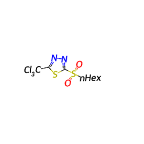 CCCCCCS(=O)(=O)c1nnc(C(Cl)(Cl)Cl)s1